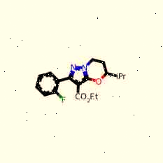 CCOC(=O)c1c(-c2ccccc2F)nn2c1OC(C(C)C)CC2